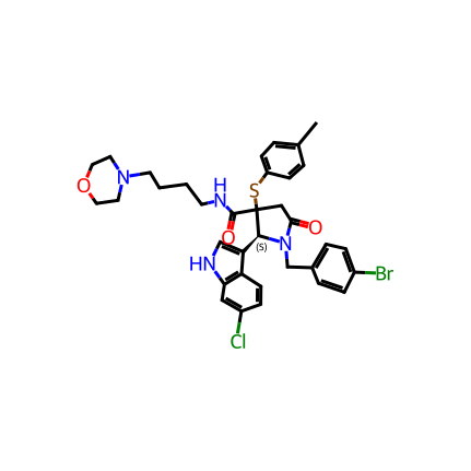 Cc1ccc(SC2(C(=O)NCCCCN3CCOCC3)CC(=O)N(Cc3ccc(Br)cc3)[C@H]2c2c[nH]c3cc(Cl)ccc23)cc1